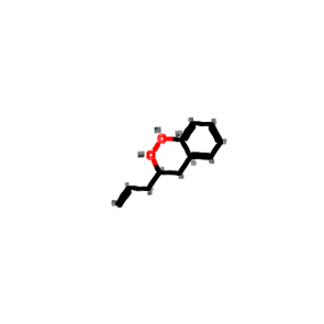 C=C[CH]C1Cc2ccccc2OO1